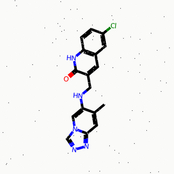 Cc1cc2nncn2cc1NCc1cc2cc(Cl)ccc2[nH]c1=O